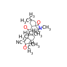 CN(C)C(=O)[C@]12CCC(C)(C)CC1C1C(=O)C=C3[C@@]4(C)C=C(C#N)C(=O)C(C)(C)[C@@H]4CC[C@@]3(C)[C@]1(C)CC2